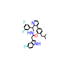 CC(C)Cc1ccc(-c2cccnc2C(CNC(=O)Cc2c[nH]c3ccc(F)cc23)c2cc(F)cc(F)c2)cc1